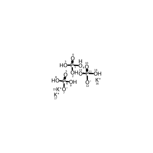 O=P(O)(O)O.O=P([O-])(O)O.O=P([O-])([O-])O.[K+].[K+].[K+]